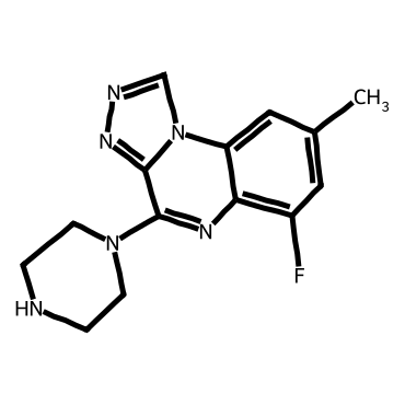 Cc1cc(F)c2nc(N3CCNCC3)c3nncn3c2c1